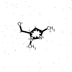 Cc1cc(C[O])n(C)n1